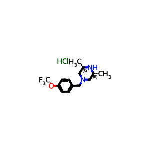 C[C@@H]1CN(Cc2ccc(OC(F)(F)F)cc2)C[C@H](C)N1.Cl